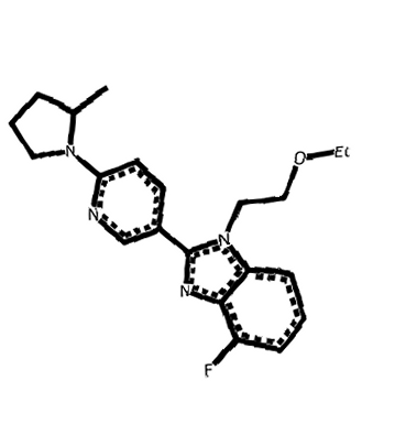 CCOCCn1c(-c2ccc(N3CCCC3C)nc2)nc2c(F)cccc21